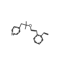 C=Cc1ccccc1C=COC(C)(C)Cc1ccncc1